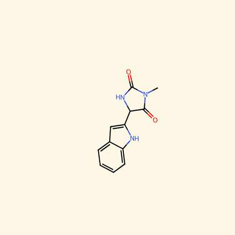 CN1C(=O)NC(c2cc3ccccc3[nH]2)C1=O